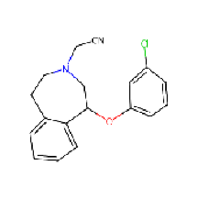 N#CCN1CCc2ccccc2C(Oc2cccc(Cl)c2)C1